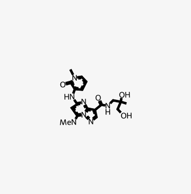 CNc1cc(Nc2cccn(C)c2=O)nc2c(C(=O)NCC(C)(O)CO)cnn12